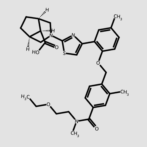 CCOCCN(C)C(=O)c1ccc(COc2ccc(C)cc2-c2csc(N3C[C@H]4CC[C@@H](C3)[C@H]4C(=O)O)n2)c(C)c1